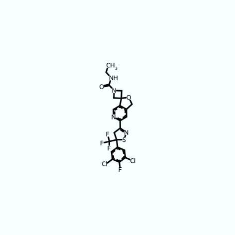 CCNC(=O)N1CC2(C1)OCc1cc(C3=NSC(c4cc(Cl)c(F)c(Cl)c4)(C(F)(F)F)C3)ncc12